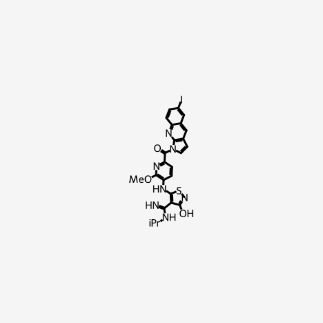 COc1nc(C(=O)n2ccc3cc4cc(I)ccc4nc32)ccc1Nc1snc(O)c1C(=N)NC(C)C